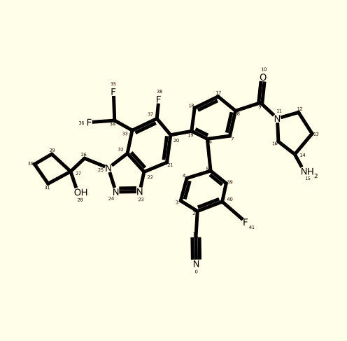 N#Cc1ccc(-c2cc(C(=O)N3CCC(N)C3)ccc2-c2cc3nnn(CC4(O)CCC4)c3c(C(F)F)c2F)cc1F